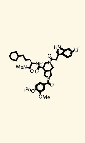 CNC(=O)[C@@H](CCCC1CCCCC1)NC(=O)C1CN(C(=O)Cc2c[nH]c3cc(Cl)ccc23)CC2CN(C(=O)c3ccc(OC(C)C)c(OC)c3)CC21